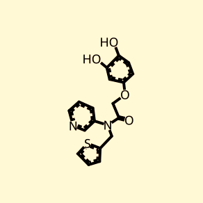 O=C(COc1ccc(O)c(O)c1)N(Cc1cccs1)c1cccnc1